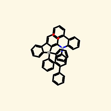 c1ccc(-c2ccc(N(c3ccccc3-c3ccccc3)c3cccc4c3[Si](c3ccccc3)(c3ccccc3)c3ccccc3-4)cc2)cc1